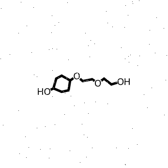 OCCOCCOC1CCC(O)CC1